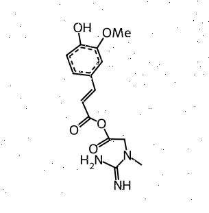 COc1cc(C=CC(=O)OC(=O)CN(C)C(=N)N)ccc1O